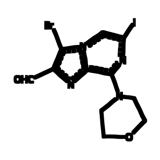 O=Cc1nc2c(N3CCOCC3)nc(I)cn2c1Br